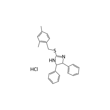 Cc1ccc(CSC2=NC(c3ccccc3)C(c3ccccc3)N2)c(C)c1.Cl